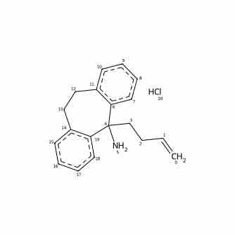 C=CCCC1(N)c2ccccc2CCc2ccccc21.Cl